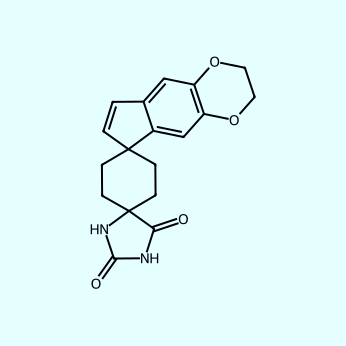 O=C1NC(=O)C2(CCC3(C=Cc4cc5c(cc43)OCCO5)CC2)N1